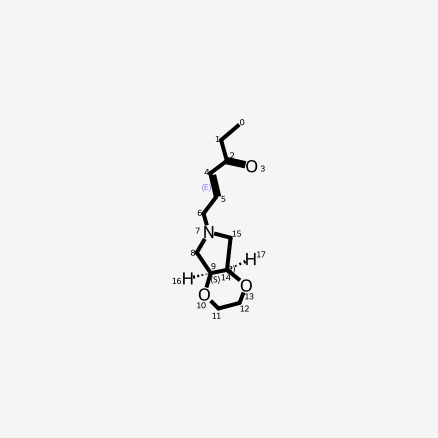 CCC(=O)/C=C/CN1C[C@@H]2OCCO[C@@H]2C1